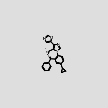 C[C@H]1N=C(c2ccccc2)c2cc(C3CC3)ccc2-n2cnc(-c3cnco3)c21